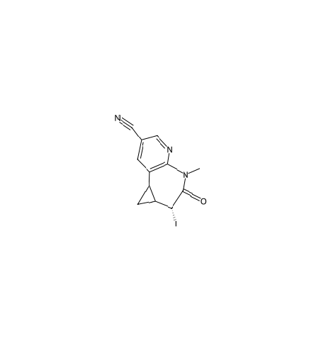 CN1C(=O)[C@H](I)C2CC2c2cc(C#N)cnc21